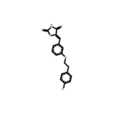 O=C1NC(=O)/C(=C/c2cccc(OCCc3ccc(Cl)cc3)c2)S1